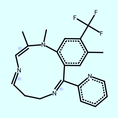 C/C1=C/N=C/CC/N=C(/c2ccccn2)c2cc(C)c(C(F)(F)F)cc2N1C